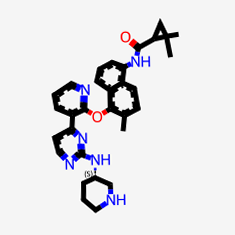 Cc1ccc2c(NC(=O)C3CC3(C)C)cccc2c1Oc1ncccc1-c1ccnc(N[C@H]2CCCNC2)n1